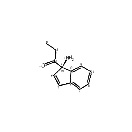 CCC(=O)[C@@]1(N)C=Cc2ccccc21